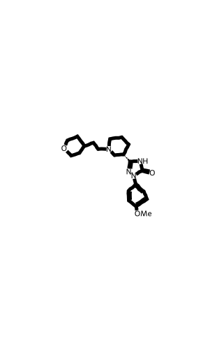 COc1ccc(-n2nc([C@H]3CCCN(CCC4CCOCC4)C3)[nH]c2=O)cc1